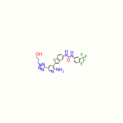 Nc1ncc(-c2nnn(CCCO)n2)cc1-c1cc2cc(NC(=O)Nc3ccc(F)c(C(F)(F)F)c3)ccc2s1